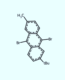 Cc1ccc2c(Br)c3cc(C(C)(C)C)ccc3c(Br)c2c1